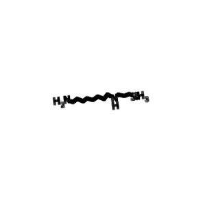 NCCCCCCCCNCCC[SiH3]